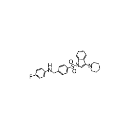 O=S(=O)(c1ccc(CNc2ccc(F)cc2)cc1)n1cc(N2CCCCC2)c2ccccc21